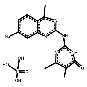 Cc1nc(Nc2nc(C)c3cc[c]([Na])cc3n2)[nH]c(=O)c1C.O=P(O)(O)O